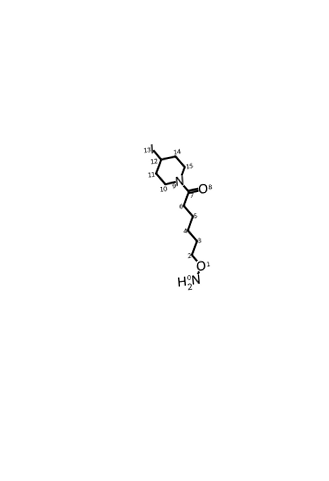 NOCCCCCC(=O)N1CCC(I)CC1